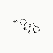 Cc1ccccc1S(=O)(=O)Nc1cccc(O)c1